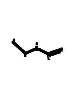 [CH]=NSCC